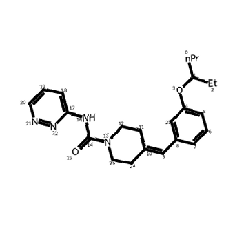 CCCC(CC)Oc1cccc(C=C2CCN(C(=O)Nc3cccnn3)CC2)c1